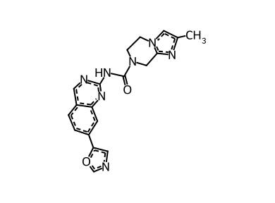 Cc1cn2c(n1)CN(C(=O)Nc1ncc3ccc(-c4cnco4)cc3n1)CC2